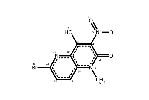 Cn1c(=O)c([N+](=O)[O-])c(O)c2nc(Br)ccc21